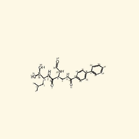 CC(C)C[C@H](NC(=O)[C@H](CNC(=O)c1ccc(-c2ccccc2)cc1)NC=O)B(O)O